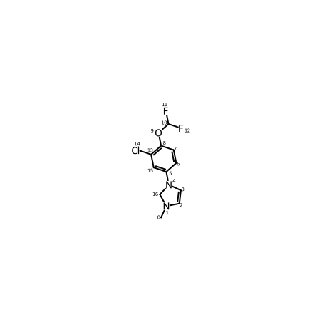 CN1C=CN(c2ccc(OC(F)F)c(Cl)c2)C1